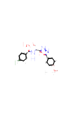 O=C(N[C@@H](CO)c1nnc(-c2ccc(OC(F)(F)F)cc2)o1)c1ccc(F)cc1